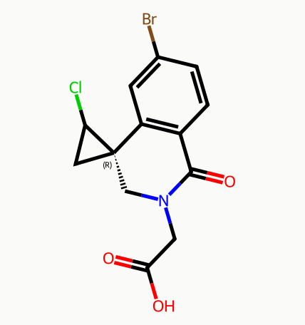 O=C(O)CN1C[C@@]2(CC2Cl)c2cc(Br)ccc2C1=O